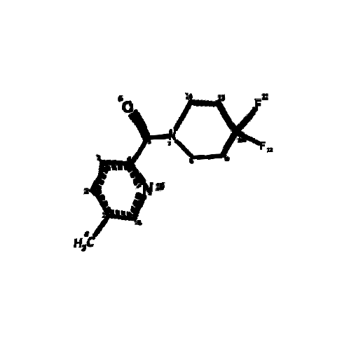 Cc1ccc(C(=O)N2CCC(F)(F)CC2)nc1